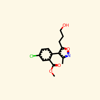 COC(=O)c1cc(Cl)ccc1-c1c(C)noc1CCCO